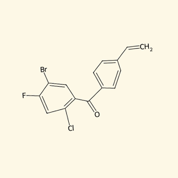 C=Cc1ccc(C(=O)c2cc(Br)c(F)cc2Cl)cc1